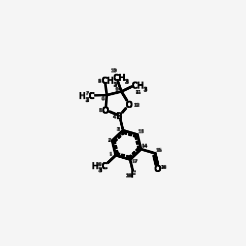 Cc1cc(B2OC(C)(C)C(C)(C)O2)cc(C=O)c1F